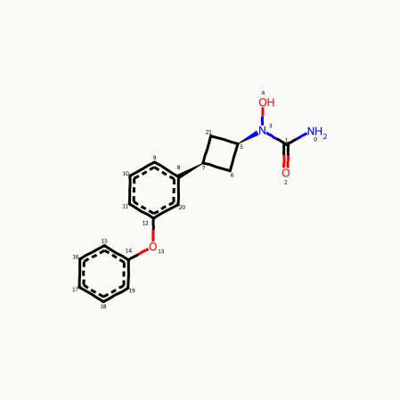 NC(=O)N(O)[C@H]1C[C@@H](c2cccc(Oc3ccccc3)c2)C1